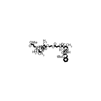 COC(=O)CCNC(=O)[C@@H]1OP(=O)(N[C@@H](C)C(=O)OCCOC(=O)CCNC(=O)[C@@H]2OP(=O)(N[C@@H](Cc3ccccc3)C(=O)OC(C)(C)C)OCC2(C)C)OCC1(C)C